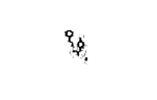 CSc1nc(C)c(C(=O)NCCCc2ccccc2)c(-c2ccc(Cl)cc2Cl)n1